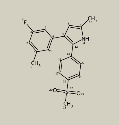 Cc1cc(F)cc(-c2cc(C)[nH]c2-c2ccc(S(C)(=O)=O)cc2)c1